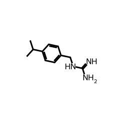 CC(C)c1ccc(CNC(=N)N)cc1